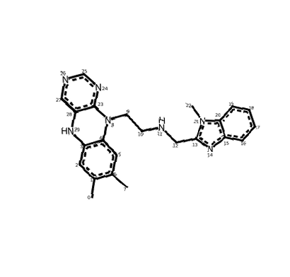 Cc1cc2c(cc1C)N(CCNCc1nc3ccccc3n1C)c1ncncc1N2